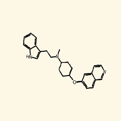 CN(CCc1c[nH]c2ccccc12)C1CCC(Oc2ccc3cnccc3c2)CC1